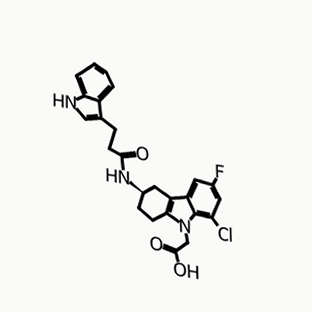 O=C(O)Cn1c2c(c3cc(F)cc(Cl)c31)C[C@H](NC(=O)CCc1c[nH]c3ccccc13)CC2